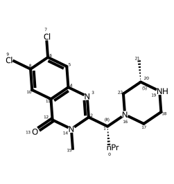 CCC[C@H](c1nc2cc(Cl)c(Cl)cc2c(=O)n1C)N1CCN[C@@H](C)C1